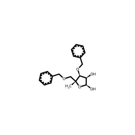 C[C@]1(COCc2ccccc2)O[C@H](O)[C@H](O)[C@@H]1OCc1ccccc1